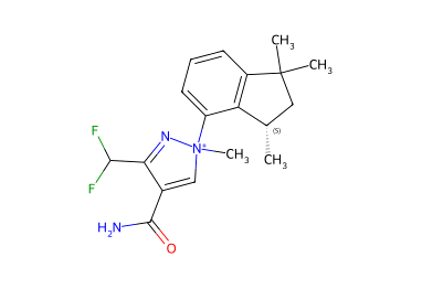 C[C@H]1CC(C)(C)c2cccc([N+]3(C)C=C(C(N)=O)C(C(F)F)=N3)c21